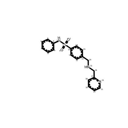 O=S(=O)(Nc1ccccc1)c1ccc(CNCc2ccccn2)cc1